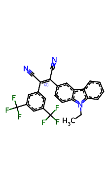 CCn1c2ccccc2c2cc(/C(C#N)=C(/C#N)c3cc(C(F)(F)F)cc(C(F)(F)F)c3)ccc21